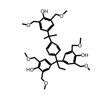 CCC(c1ccc(C(C)(C)c2cc(COC)c(O)c(COC)c2)cc1)(c1cc(COC)c(O)c(COC)c1)c1cc(COC)c(O)c(COC)c1